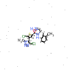 Cc1ccccc1C[C@@H](CN)NC(=O)c1cc(-c2c(Cl)nnn2C)c(Cl)s1